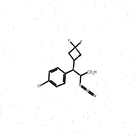 [N-]=[N+]=NC(C(=O)O)C(c1ccc(Cl)cc1)C1CC(F)(F)C1